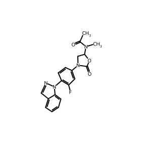 CC(=O)N(C)C1CN(c2ccc(-n3ncc4ccccc43)c(F)c2)C(=O)O1